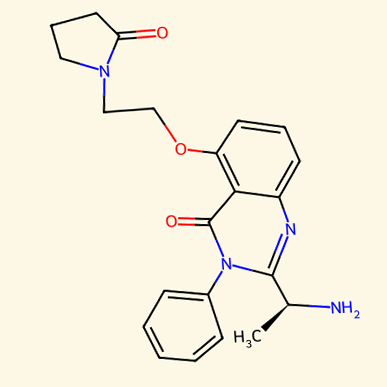 C[C@H](N)c1nc2cccc(OCCN3CCCC3=O)c2c(=O)n1-c1ccccc1